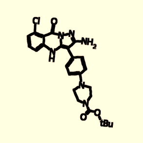 CC(C)(C)OC(=O)N1CCN(c2ccc(-c3c(N)nn4c(=O)c5c(Cl)cccc5[nH]c34)cc2)CC1